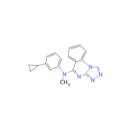 CN(c1cccc(C2CC2)c1)c1nc2nncn2c2ccccc12